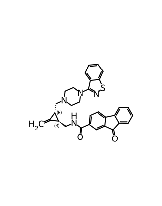 C=C1[C@H](CNC(=O)c2ccc3c(c2)C(=O)c2ccccc2-3)[C@H]1CN1CCN(c2nsc3ccccc23)CC1